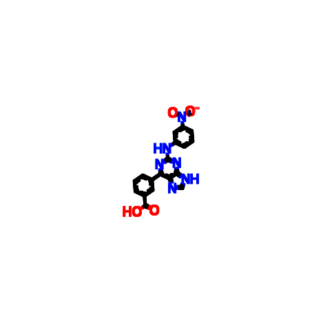 O=C(O)c1cccc(-c2nc(Nc3cccc([N+](=O)[O-])c3)nc3[nH]cnc23)c1